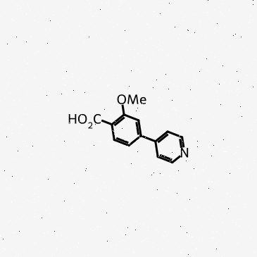 COc1cc(-c2ccncc2)ccc1C(=O)O